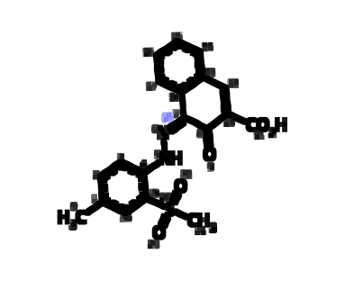 Cc1ccc(N/N=C2\C(=O)C(C(=O)O)=Cc3ccccc32)c(S(C)(=O)=O)c1